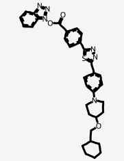 O=C(On1nnc2ccccc21)c1ccc(-c2nnc(-c3ccc(N4CCC(OCC5CCCCC5)CC4)cc3)s2)cc1